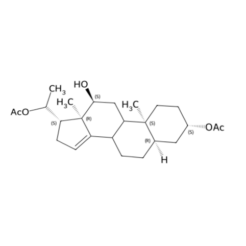 CC(=O)OC(C)[C@H]1CC=C2C3CC[C@@H]4C[C@@H](OC(C)=O)CC[C@]4(C)C3C[C@H](O)[C@@]21C